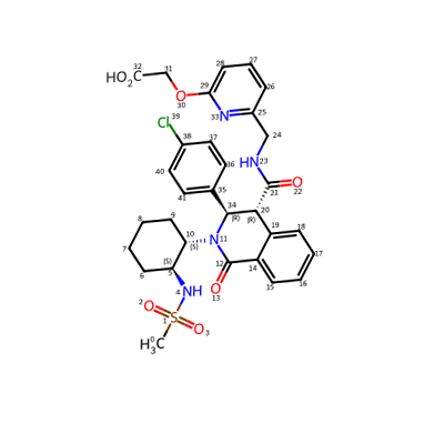 CS(=O)(=O)N[C@H]1CCCC[C@@H]1N1C(=O)c2ccccc2[C@@H](C(=O)NCc2cccc(OCC(=O)O)n2)[C@@H]1c1ccc(Cl)cc1